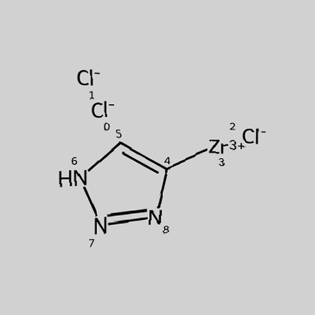 [Cl-].[Cl-].[Cl-].[Zr+3][c]1c[nH]nn1